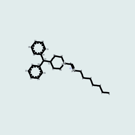 CCCCCCC/N=C/N1CCC(C(c2ccccc2)c2ccccc2)CC1